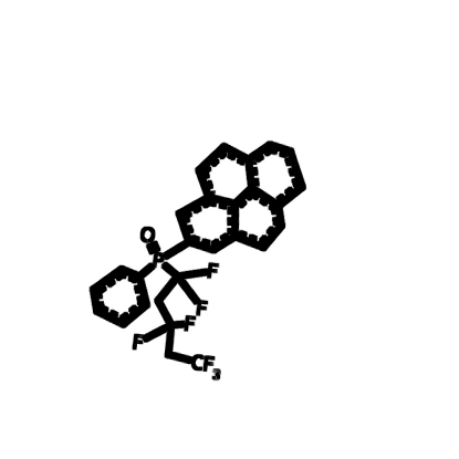 O=P(c1ccccc1)(c1cc2ccc3cccc4ccc(c1)c2c34)C(F)(F)CC(F)(F)CC(F)(F)F